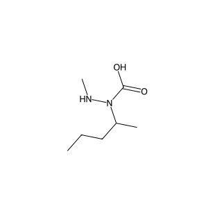 CCCC(C)N(NC)C(=O)O